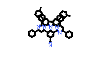 Cc1cccc(-c2ccc3c(c2)c2cc(-c4cccc(C)c4)ccc2n3-c2c(-c3cc(-c4ccccc4)nc(-c4ccccc4)n3)cc(C#N)cc2-c2nc(-c3ccccc3)cc(-c3ccccc3)n2)c1